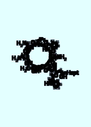 CCCCCCC[C@@H](O)CC(=O)N[C@H](CCc1c[nH]c2ccccc12)C(=O)N[C@H]1CCNC(O)[C@H]([C@@H](C)O)NC(=O)[C@H](CCN)NC(=O)[C@H](CCN)NC(=O)[C@H](CC(C)C)NC(=O)[C@@H](Cc2ccccc2)NC(=O)[C@H](CCN)NC1=O